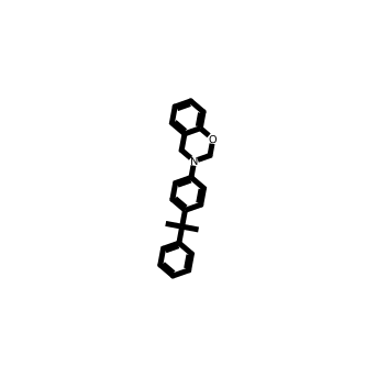 CC(C)(c1ccccc1)c1ccc(N2COc3ccccc3C2)cc1